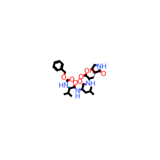 CC(C)CC(NC(=O)C(NC(=O)OCc1ccccc1)C(C)C)C(=O)NC(C[C@@H]1CCNC1=O)C(=O)O